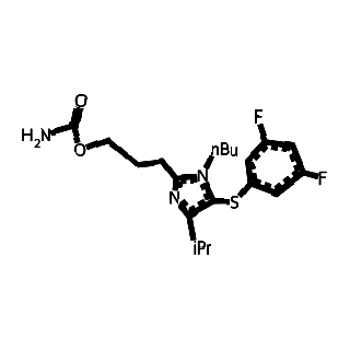 CCCCn1c(CCCOC(N)=O)nc(C(C)C)c1Sc1cc(F)cc(F)c1